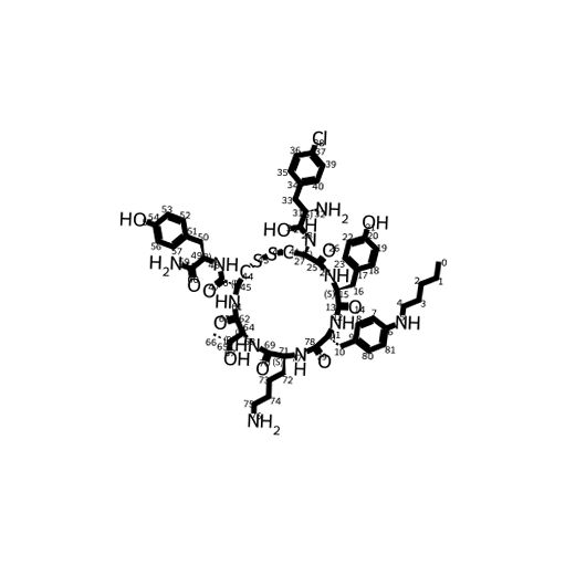 CCCCCNc1ccc(C[C@H]2NC(=O)[C@H](Cc3ccc(O)cc3)NC(=O)[C@H](NC(O)[C@@H](N)Cc3ccc(Cl)cc3)CSSC[C@@H](C(=O)N[C@H](Cc3ccc(O)cc3)C(N)=O)NC(=O)[C@H]([C@@H](C)O)NC(=O)[C@H](CCCCN)NC2=O)cc1